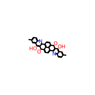 Cc1ccc2nc3c(c(O)c2c1)C(=O)c1ccc2c4c(ccc-3c14)C(=O)c1c-2nc2ccc(C)cc2c1O